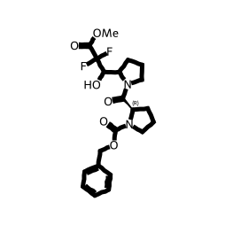 COC(=O)C(F)(F)C(O)C1CCCN1C(=O)[C@H]1CCCN1C(=O)OCc1ccccc1